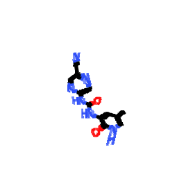 Cc1c[nH]c(=O)c(NC(=O)Nc2cnc(C#N)cn2)c1